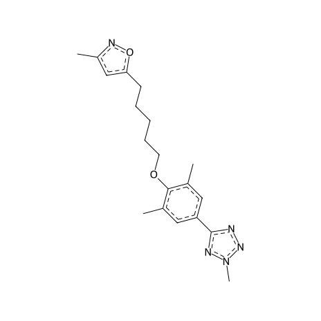 Cc1cc(CCCCCOc2c(C)cc(-c3nnn(C)n3)cc2C)on1